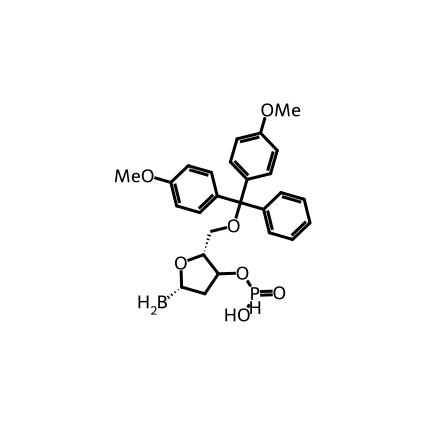 B[C@H]1CC(O[PH](=O)O)[C@@H](COC(c2ccccc2)(c2ccc(OC)cc2)c2ccc(OC)cc2)O1